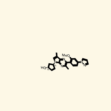 COc1cc(-n2cccn2)ccc1-c1nc2c(C)cn([C@H]3CC[C@H](O)C3)c2nc1C